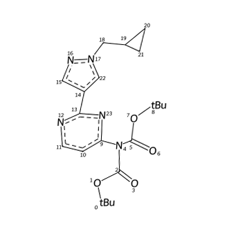 CC(C)(C)OC(=O)N(C(=O)OC(C)(C)C)c1ccnc(-c2cnn(CC3CC3)c2)n1